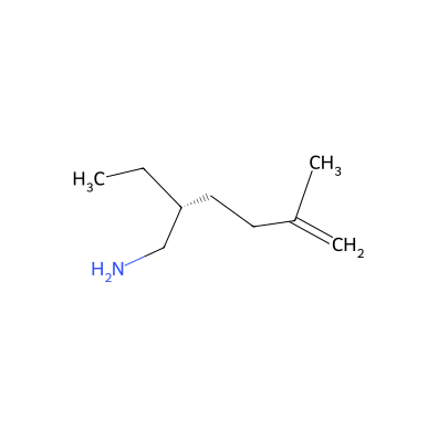 C=C(C)CC[C@@H](CC)CN